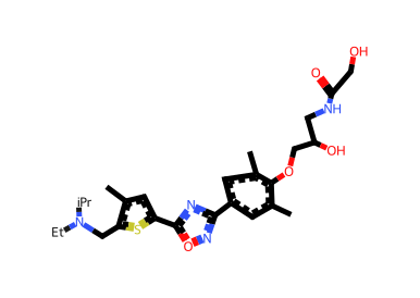 CCN(Cc1sc(-c2nc(-c3cc(C)c(OCC(O)CNC(=O)CO)c(C)c3)no2)cc1C)C(C)C